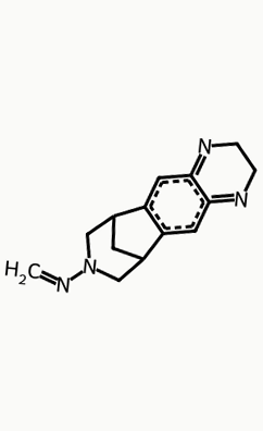 C=NN1CC2CC(C1)c1cc3c(cc12)=NCCN=3